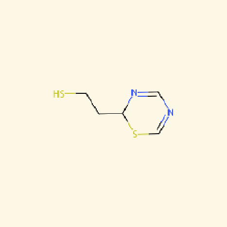 SCCC1N=CN=CS1